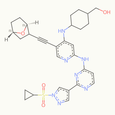 O=S(=O)(C1CC1)n1cc(-c2nccc(Nc3cc(NC4CCC(CO)CC4)c(C#CC4C[C@@H]5CC[C@@H]4O5)cn3)n2)cn1